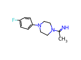 CC(=N)N1CCN(c2ccc(F)cc2)CC1